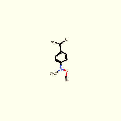 CC(=O)C(C#N)c1ccc(N(C=O)OC(C)(C)C)cc1